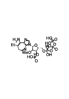 CCC1=C(N)c2ncn([C@@H]3O[C@H](COP(=O)(O)OP(=O)(O)OP(=O)(O)O)[C@@H](O[PH](=O)O)[C@H]3OC)c2N=CC1